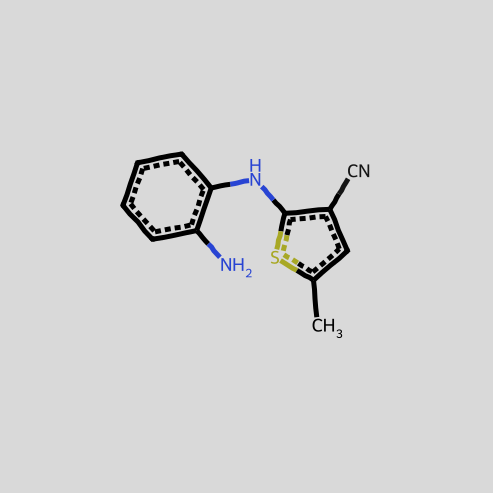 Cc1cc(C#N)c(Nc2ccccc2N)s1